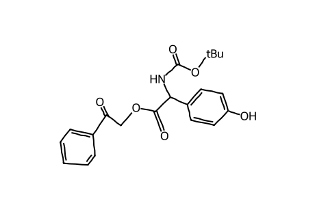 CC(C)(C)OC(=O)NC(C(=O)OCC(=O)c1ccccc1)c1ccc(O)cc1